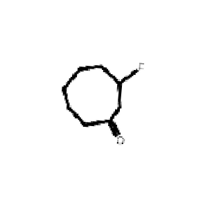 O=C1CCCCCC(F)C1